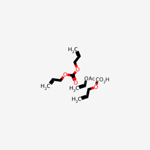 C=CCOC(=O)O.C=CCOC(=O)OCC=C.C=COC(C)=O